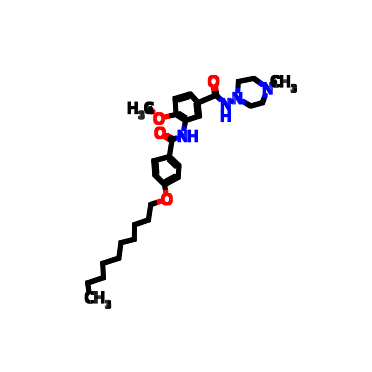 CCCCCCCCCCOc1ccc(C(=O)Nc2cc(C(=O)NN3CCN(C)CC3)ccc2OC)cc1